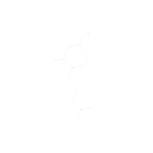 CCC(C)CCCC1=C(C)CC(S)CC1